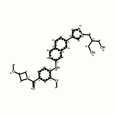 COc1cc(C(=O)N2CC(OC)C2)ccc1Nc1cc2cc(-c3cnn(CC(CO)CO)c3)ccc2cn1